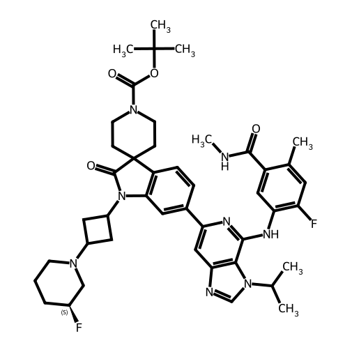 CNC(=O)c1cc(Nc2nc(-c3ccc4c(c3)N(C3CC(N5CCC[C@H](F)C5)C3)C(=O)C43CCN(C(=O)OC(C)(C)C)CC3)cc3ncn(C(C)C)c23)c(F)cc1C